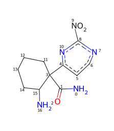 NC(=O)C1(c2ccnc([N+](=O)[O-])n2)CCCCC1N